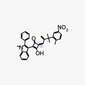 C=C(/C=C1\C(=O)C(c2c(-c3ccccc3)n(C)c3ccccc23)=C1O)C(C)(C)c1cc([N+](=O)[O-])ccc1C